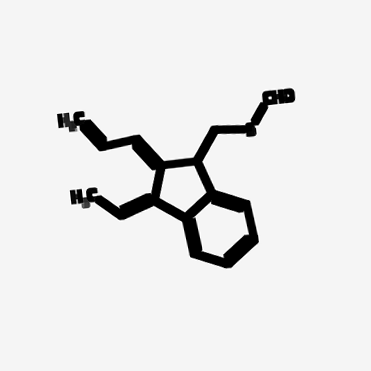 C=C/C=C1\C(=C/C)c2ccccc2C1CSC=O